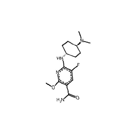 COc1nc(N[C@H]2CC[C@H](N(C)C)CC2)c(F)cc1C(N)=O